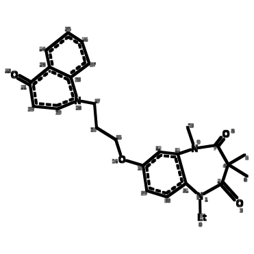 CCN1C(=O)C(C)(C)C(=O)N(C)c2cc(OCCCn3ccc(=O)c4ccccc43)ccc21